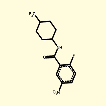 O=C(NC1CCC(C(F)(F)F)CC1)c1cc([N+](=O)[O-])ccc1F